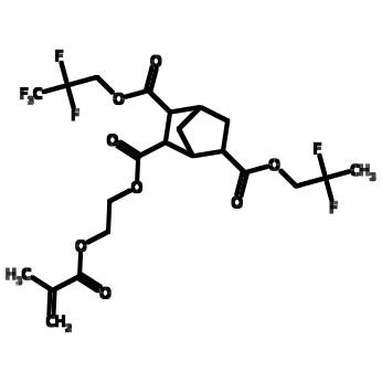 C=C(C)C(=O)OCCOC(=O)C1C2CC(CC2C(=O)OCC(C)(F)F)C1C(=O)OCC(F)(F)C(F)(F)F